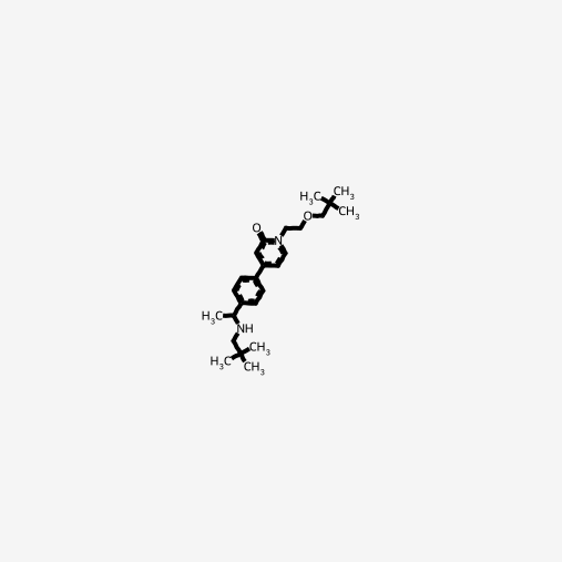 CC(NCC(C)(C)C)c1ccc(-c2ccn(CCOCC(C)(C)C)c(=O)c2)cc1